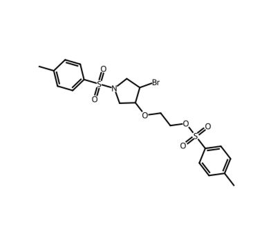 Cc1ccc(S(=O)(=O)OCCOC2CN(S(=O)(=O)c3ccc(C)cc3)CC2Br)cc1